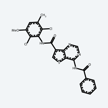 COc1cc(C)c(Cl)c(NC(=O)c2csc3c(NC(=O)c4ccccc4)ncnc23)c1Cl